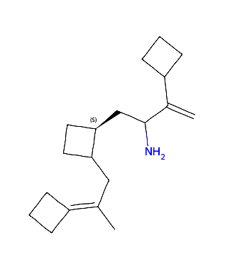 C=C(C(N)C[C@@H]1CCC1CC(C)=C1CCC1)C1CCC1